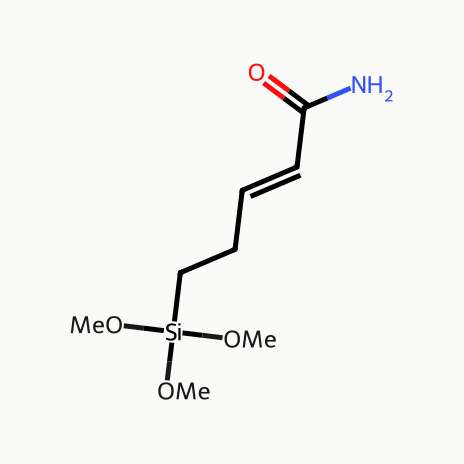 CO[Si](CCC=CC(N)=O)(OC)OC